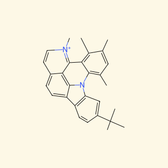 Cc1cc(C)c2c(c1C)c1c3c(ccc4c5ccc(C(C)(C)C)cc5n2c43)cc[n+]1C